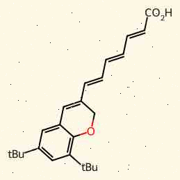 CC(C)(C)c1cc2c(c(C(C)(C)C)c1)OCC(/C=C/C=C/C=C/C(=O)O)=C2